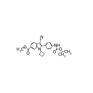 COC(=O)c1ccc2c(C#N)c(-c3ccc(NC(=O)OC(C)C)cc3)n(C3CCC3)c2c1